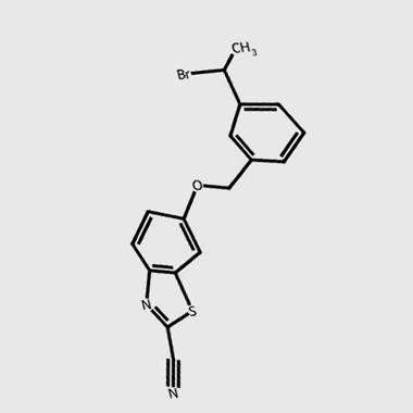 CC(Br)c1cccc(COc2ccc3nc(C#N)sc3c2)c1